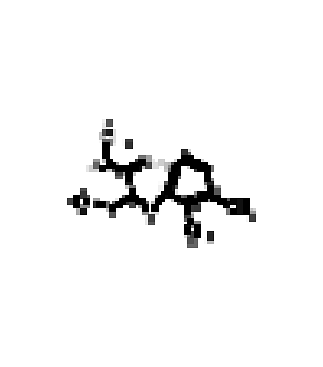 CCC(Oc1cccc(C)c1C)C(=O)OC